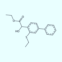 CCOC(=O)C(O)c1ccc(-c2ccccc2)cc1SCC